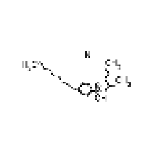 CCCCCCCCCc1ccc(P(=O)(O)CC(CC)CCCC)cc1.[Ni]